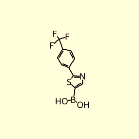 OB(O)c1cnc(-c2ccc(C(F)(F)F)cc2)s1